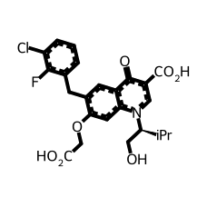 CC(C)[C@@H](CO)n1cc(C(=O)O)c(=O)c2cc(Cc3cccc(Cl)c3F)c(OCC(=O)O)cc21